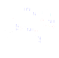 O=C(NCC(C(=O)Nc1cccc(S(=O)(=O)NC(=O)C(F)(F)F)c1)c1ccccc1)c1cc2nc[nH]c2cc1C(=O)NCC12CC3CC(CC(C3)C1)C2